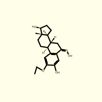 CCOc1cc2c(cc1O)/C(=N\O)C[C@@H]1[C@@H]2CC[C@]2(C)[C@@H](O)CC[C@@H]12